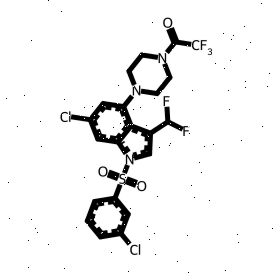 O=C(N1CCN(c2cc(Cl)cc3c2c(C(F)F)cn3S(=O)(=O)c2cccc(Cl)c2)CC1)C(F)(F)F